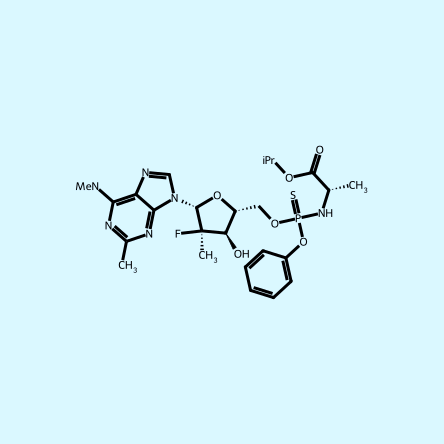 CNc1nc(C)nc2c1ncn2[C@@H]1O[C@H](COP(=S)(N[C@@H](C)C(=O)OC(C)C)Oc2ccccc2)[C@@H](O)[C@@]1(C)F